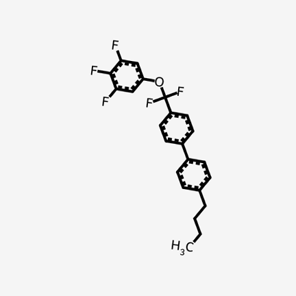 CCCCc1ccc(-c2ccc(C(F)(F)Oc3cc(F)c(F)c(F)c3)cc2)cc1